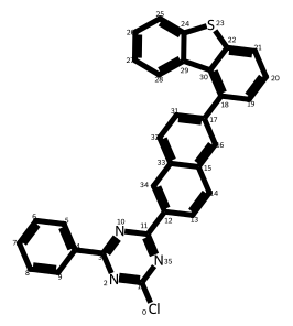 Clc1nc(-c2ccccc2)nc(-c2ccc3cc(-c4cccc5sc6ccccc6c45)ccc3c2)n1